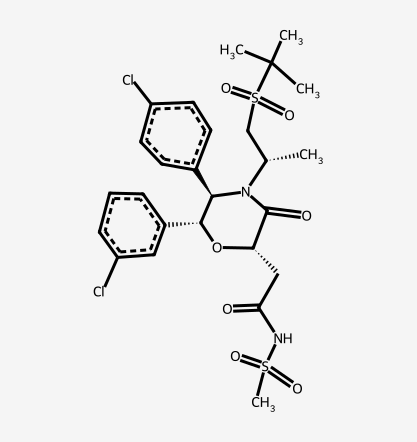 C[C@@H](CS(=O)(=O)C(C)(C)C)N1C(=O)[C@H](CC(=O)NS(C)(=O)=O)O[C@H](c2cccc(Cl)c2)[C@H]1c1ccc(Cl)cc1